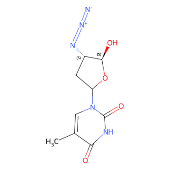 Cc1cn(C2C[C@H](N=[N+]=[N-])[C@@H](O)O2)c(=O)[nH]c1=O